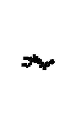 CCC(C(=O)Oc1ccc(S(=O)(=O)N[C@@H](CSCC(=O)O)C(=O)O)cc1)c1ccc(N2CCCC2)cc1